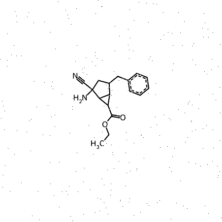 CCOC(=O)C1C2C(Cc3ccccc3)CC(N)(C#N)C12